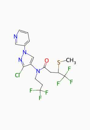 CSC(CC(=O)N(CCC(F)(F)F)c1cn(-c2cccnc2)nc1Cl)C(F)(F)F